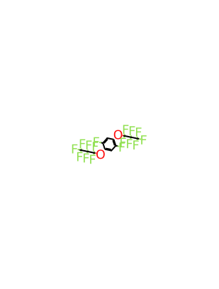 Fc1cc(OC(F)(F)C(F)(F)C(F)(F)F)c(F)cc1OC(F)(F)C(F)(F)C(F)(F)F